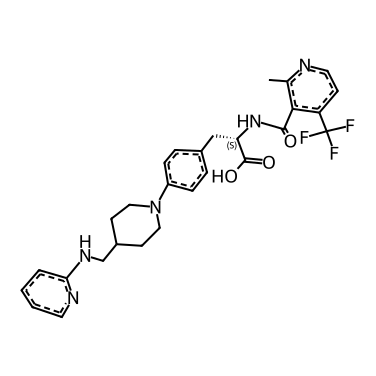 Cc1nccc(C(F)(F)F)c1C(=O)N[C@@H](Cc1ccc(N2CCC(CNc3ccccn3)CC2)cc1)C(=O)O